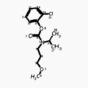 COCCCN(C(=O)Oc1ccccc1Cl)C(C)C